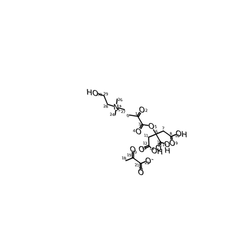 CC(=O)C(=O)OC(CC(=O)O)(CC(=O)O)C(=O)O.CC(=O)C(=O)[O-].C[N+](C)(C)CCO